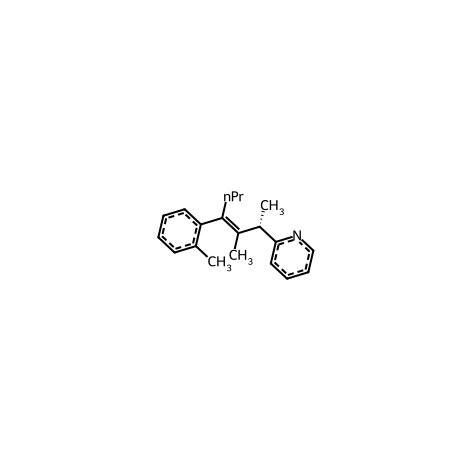 CCC/C(=C(/C)[C@H](C)c1ccccn1)c1ccccc1C